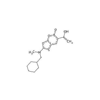 C=C(O)c1cc2sc(N(C)CC3CCCCC3)cc2oc1=O